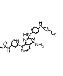 C=CC(=O)Nc1ccnc(-c2nccc3c(N)nc(Nc4ccc(NC5CN(CCF)C5)cc4)nc23)c1